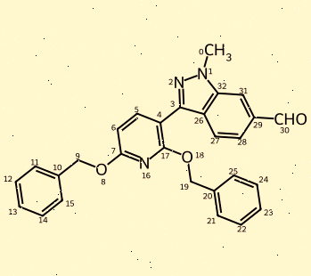 Cn1nc(-c2ccc(OCc3ccccc3)nc2OCc2ccccc2)c2ccc(C=O)cc21